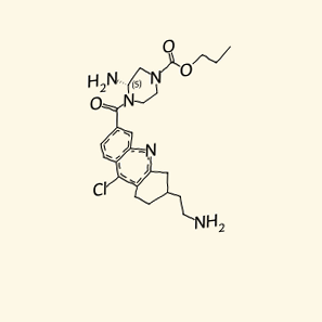 CCCOC(=O)N1CCN(C(=O)c2ccc3c(Cl)c4c(nc3c2)CC(CCN)CC4)[C@H](N)C1